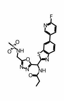 CCC(=O)NC(c1nnc(CNS(C)(=O)=O)o1)c1nc2ccc(-c3ccc(F)nc3)cc2s1